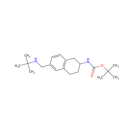 CC(C)(C)NCc1ccc2c(c1)CCC(NC(=O)OC(C)(C)C)C2